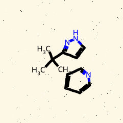 CC(C)(C)c1cc[nH]n1.c1ccncc1